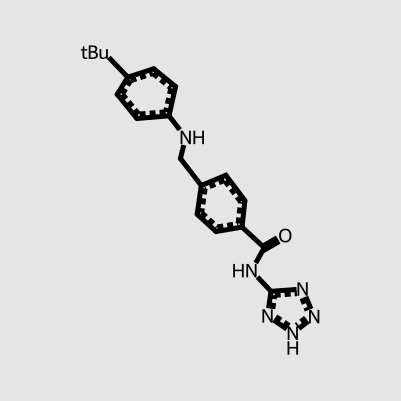 CC(C)(C)c1ccc(NCc2ccc(C(=O)Nc3nn[nH]n3)cc2)cc1